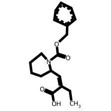 CCC(=CC1CCCCN1C(=O)OCc1ccccc1)C(=O)O